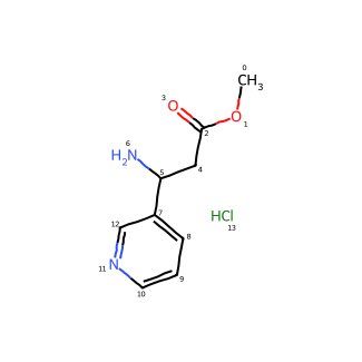 COC(=O)CC(N)c1cccnc1.Cl